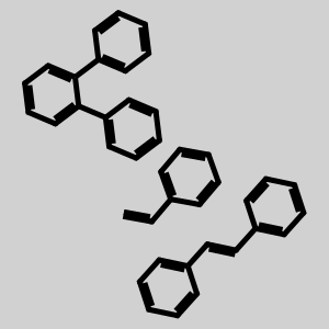 C(=Cc1ccccc1)c1ccccc1.C=Cc1ccccc1.c1ccc(-c2ccccc2-c2ccccc2)cc1